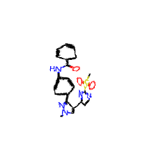 Cn1cc(-c2ccnc(S(C)(=O)=O)n2)c(-c2ccc(NC(=O)c3ccccc3)cc2)n1